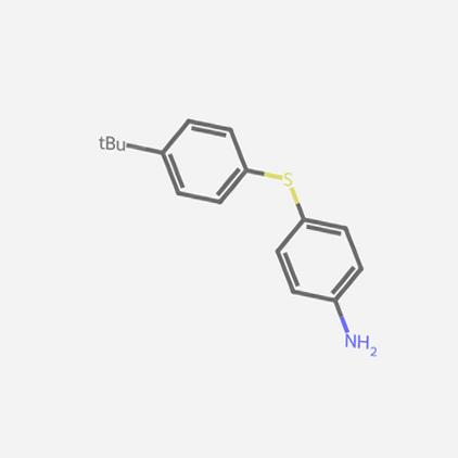 CC(C)(C)c1ccc(Sc2ccc(N)cc2)cc1